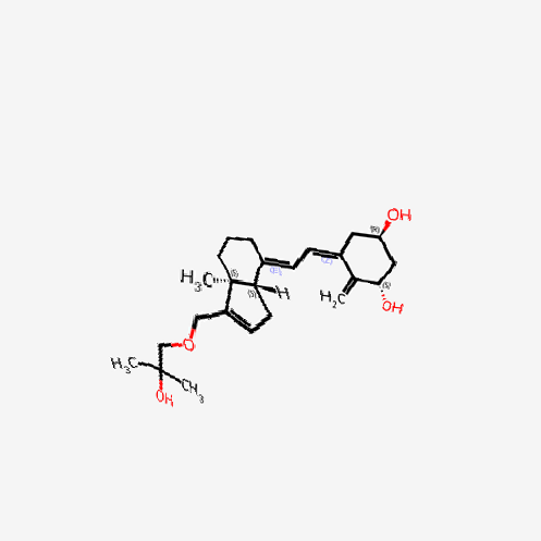 C=C1/C(=C\C=C2/CCC[C@]3(C)C(COCC(C)(C)O)=CC[C@@H]23)C[C@@H](O)C[C@@H]1O